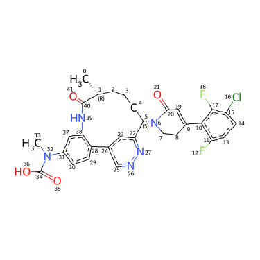 C[C@@H]1CCC[C@H](N2CCC(c3c(F)ccc(Cl)c3F)=CC2=O)c2cc(cnn2)-c2ccc(N(C)C(=O)O)cc2NC1=O